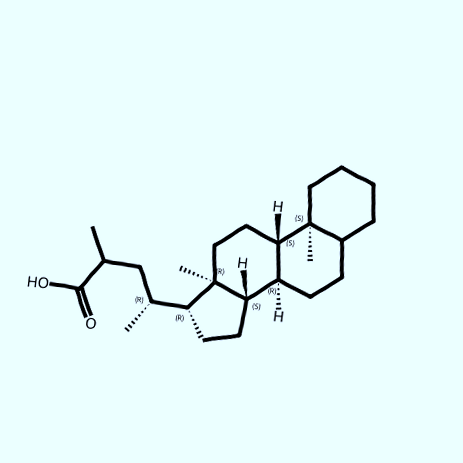 CC(C[C@@H](C)[C@H]1CC[C@H]2[C@@H]3CCC4CCCC[C@]4(C)[C@H]3CC[C@]12C)C(=O)O